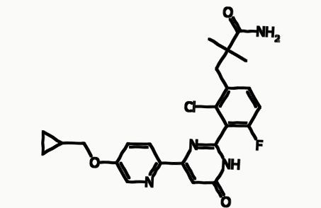 CC(C)(Cc1ccc(F)c(-c2nc(-c3ccc(OCC4CC4)cn3)cc(=O)[nH]2)c1Cl)C(N)=O